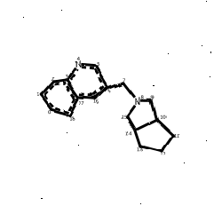 c1ccc2ncc(CN3CC4CCCC4C3)cc2c1